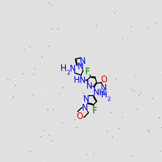 NCC(Cn1cccn1)Nc1nc(Nc2cnc(N3CCOCC3)c(F)c2)c(C(N)=O)cc1F